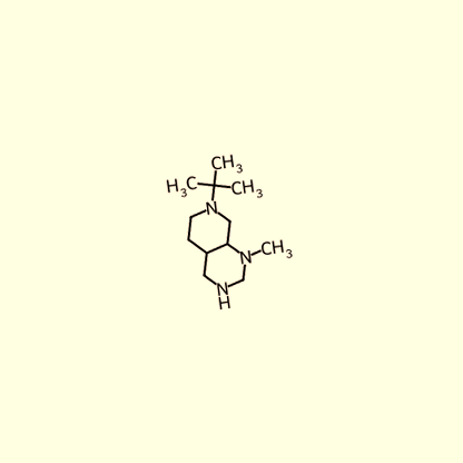 CN1CNCC2CCN(C(C)(C)C)CC21